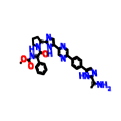 COC(=O)N[C@@H](C(=O)N1CCC[C@H]1c1ncc(-c2cnc(-c3ccc(-c4cnc([C@H](C)N)[nH]4)cc3)cn2)[nH]1)c1ccccc1